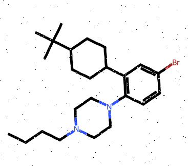 CCCCN1CCN(c2ccc(Br)cc2C2CCC(C(C)(C)C)CC2)CC1